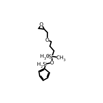 C[Si](C)(CCCOCC1CO1)O[SiH2]c1ccccc1